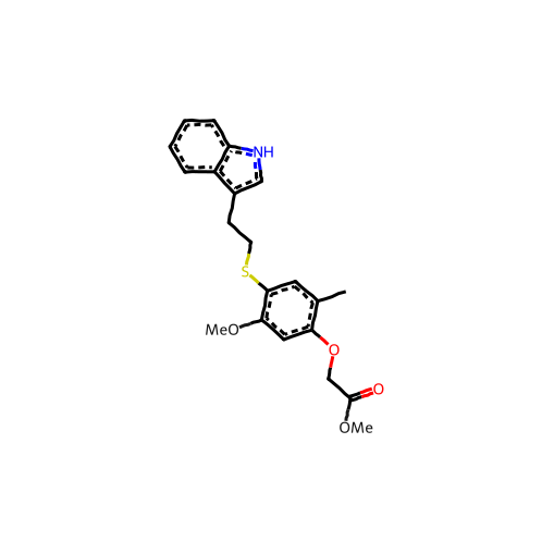 COC(=O)COc1cc(OC)c(SCCc2c[nH]c3ccccc23)cc1C